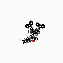 CCC(C)C[C@H]1O[C@@H](n2ccc(=O)n(CCC(NC(=O)OCC3c4ccccc4-c4ccccc43)C(=O)OC(=O)OCC3c4ccccc4-c4ccccc43)c2=O)[C@H](O)[C@@H]1O